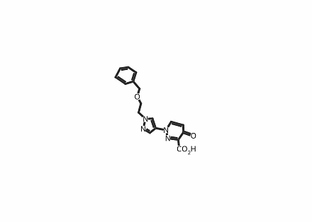 O=C(O)c1nn(-c2cnn(CCOCc3ccccc3)c2)ccc1=O